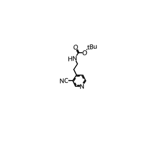 CC(C)(C)OC(=O)NCCc1ccncc1C#N